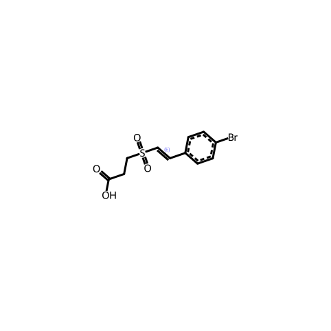 O=C(O)CCS(=O)(=O)/C=C/c1ccc(Br)cc1